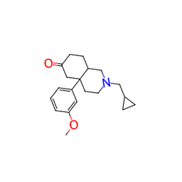 COc1cccc(C23CCN(CC4CC4)CC2CCC(=O)C3)c1